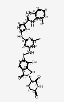 Cc1nc(NCc2ccc3c(c2F)CN(C2CCC(=O)NC2=O)C3=O)cc(Nc2ncc(C(=O)Nc3c(C)cccc3Cl)s2)n1